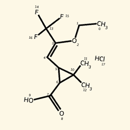 CCOC(=CC1C(C(=O)O)C1(C)C)C(F)(F)F.Cl